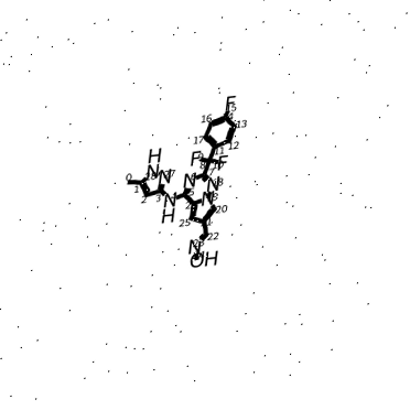 Cc1cc(Nc2nc(C(F)(F)c3ccc(F)cc3)nn3cc(C=NO)cc23)n[nH]1